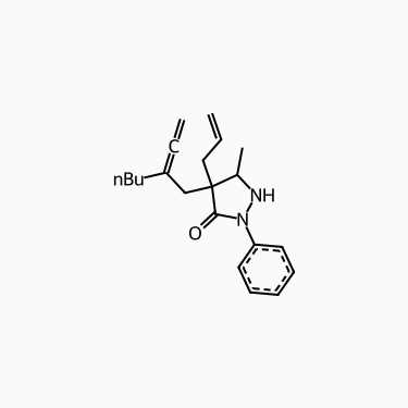 C=C=C(CCCC)CC1(CC=C)C(=O)N(c2ccccc2)NC1C